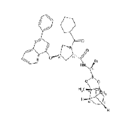 CC[C@H](NC(=O)[C@@H]1C[C@@H](Oc2cc(-c3ccccc3)nc3ccccc23)CN1C(=O)C1CCCCC1)B1OC2C[C@@H]3C[C@@H](C3(C)C)[C@]2(C)O1